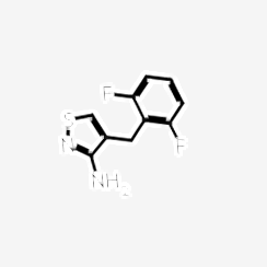 Nc1nscc1Cc1c(F)cccc1F